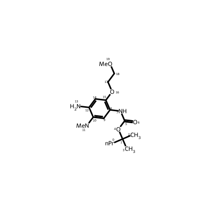 CCCC(C)(C)OC(=O)Nc1cc(NC)c(N)cc1OCCOC